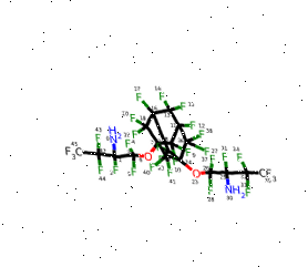 NC(F)(C(F)(F)OC12C(F)(F)C3(F)C(F)(F)C(F)(C1(F)F)C(F)(F)C(OC(F)(F)C(N)(F)C(F)(F)C(F)(F)F)(C3(F)F)C2(F)F)C(F)(F)C(F)(F)F